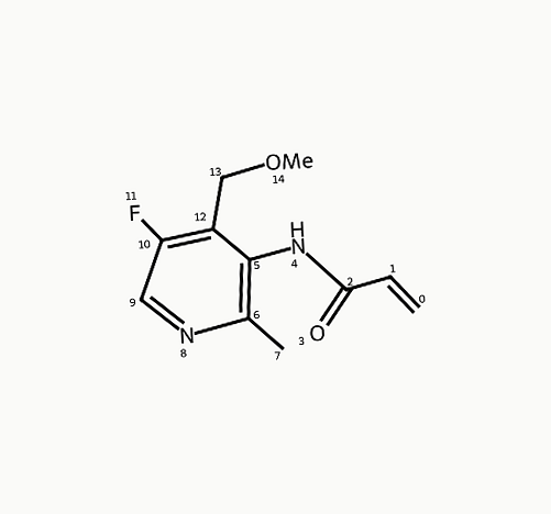 C=CC(=O)Nc1c(C)ncc(F)c1COC